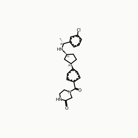 C[C@@H](N[C@H]1CC[C@@H](c2ccc(C(=O)N3CCNC(=O)C3)cc2)C1)c1cccc(Cl)c1